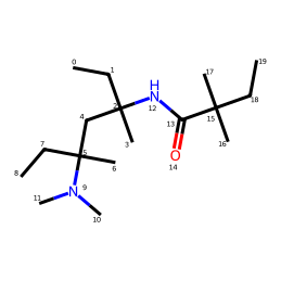 CCC(C)(CC(C)(CC)N(C)C)NC(=O)C(C)(C)CC